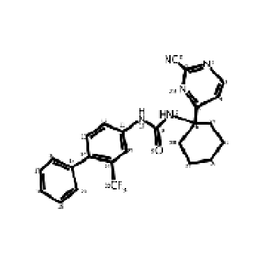 N#Cc1nccc(C2(NC(=O)Nc3ccc(-c4ccccc4)c(C(F)(F)F)c3)CCCCC2)n1